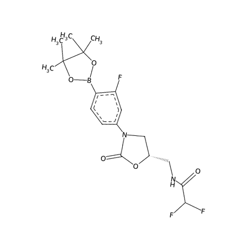 CC1(C)OB(c2ccc(N3C[C@H](CNC(=O)C(F)F)OC3=O)cc2F)OC1(C)C